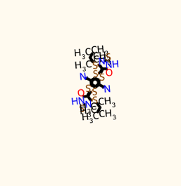 CC(C)(C)CC(C)(C)SC1=NC(=S)NC(=O)C1=C1Sc2c(C#N)c3c(c(C#N)c2S1)SC(=C1C(=O)NC(=S)N=C1SC(C)(C)CC(C)(C)C)S3